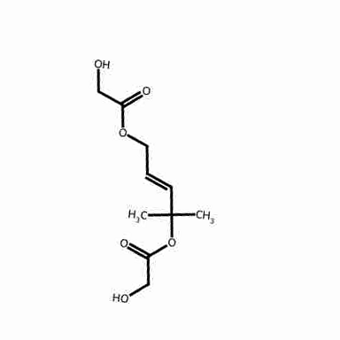 CC(C)(C=CCOC(=O)CO)OC(=O)CO